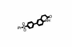 CC(C)S(=O)(=O)c1ccc(-c2ccc3c(c2)CCC(=O)N3)cc1